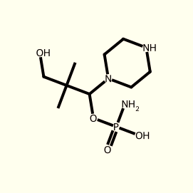 CC(C)(CO)C(OP(N)(=O)O)N1CCNCC1